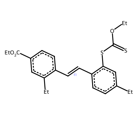 CCOC(=O)c1ccc(/C=C/c2ccc(CC)cc2SC(=S)OCC)c(CC)c1